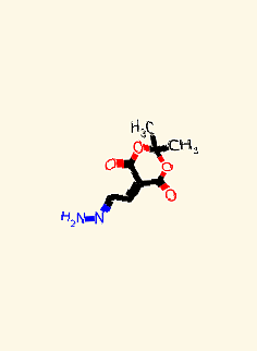 CC1(C)OC(=O)C(=C/C=N/N)C(=O)O1